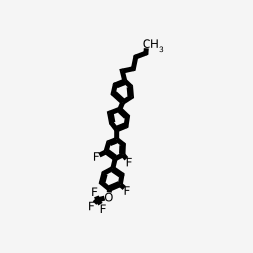 CCCCCc1ccc(-c2ccc(-c3cc(F)c(-c4ccc(OC(F)(F)F)c(F)c4)c(F)c3)cc2)cc1